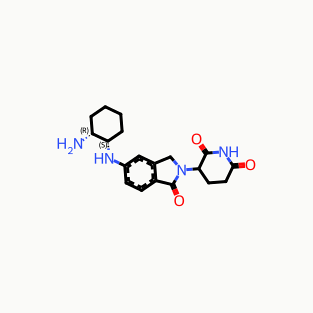 N[C@@H]1CCCC[C@@H]1Nc1ccc2c(c1)CN(C1CCC(=O)NC1=O)C2=O